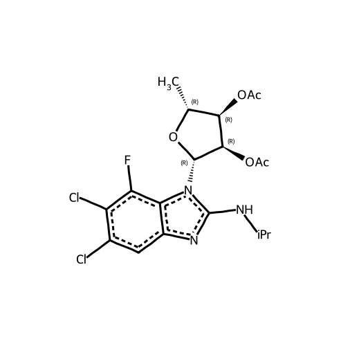 CC(=O)O[C@@H]1[C@H](OC(C)=O)[C@@H](C)O[C@H]1n1c(NC(C)C)nc2cc(Cl)c(Cl)c(F)c21